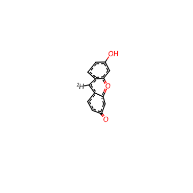 [2H]c1c2ccc(=O)cc-2oc2cc(O)ccc12